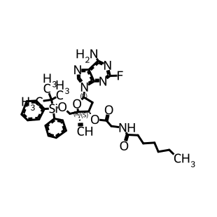 C#C[C@]1(CO[Si](c2ccccc2)(c2ccccc2)C(C)(C)C)O[C@@H](n2cnc3c(N)nc(F)nc32)C[C@@H]1OC(=O)CNC(=O)CCCCCC